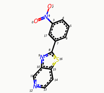 O=[N+]([O-])c1cccc(-c2nc3cnccc3s2)c1